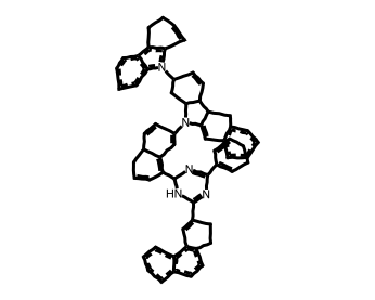 C1=CC(C2=NC(C3=C4C=C(N5C6=Cc7ccccc7CC6C6C=CC(n7c8c(c9ccccc97)CCC=C8)CC65)C=CC4CC=C3)NC(C3=Cc4c(ccc5ccccc45)CC3)=N2)=CCC1